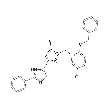 Cc1cc(-c2cnc(-c3ccccc3)[nH]2)nn1Cc1cc(Cl)ccc1OCc1ccccc1